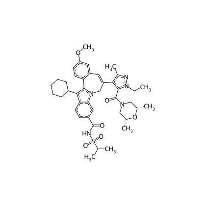 CCn1nc(C)c(C2=Cc3cc(OC)ccc3-c3c(C4CCCCC4)c4ccc(C(=O)NS(=O)(=O)C(C)C)cc4n3C2)c1C(=O)N1C[C@@H](C)O[C@@H](C)C1